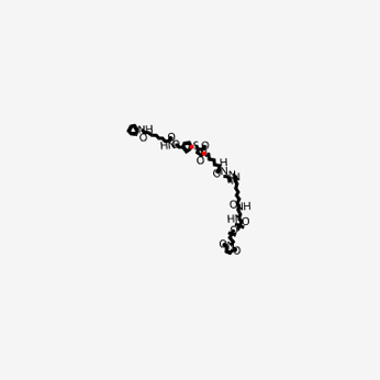 CC(C)(CCN1C(=O)C=CC1=O)OCC(C)(C)C(=O)NCCNC(=O)CCCCCn1cc(CNC(=O)CCCCCN2C(=O)CC(Sc3ccc(CONC(=O)CCCCCCC(=O)Nc4ccccc4)cc3)C2=O)nn1